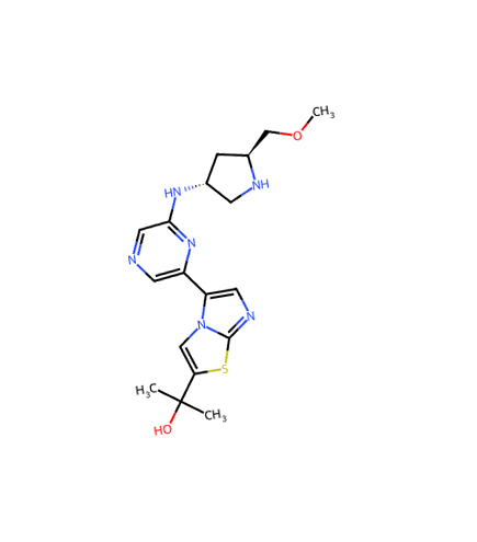 COC[C@@H]1C[C@@H](Nc2cncc(-c3cnc4sc(C(C)(C)O)cn34)n2)CN1